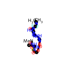 CNCC(=O)N[C@H](C(=O)N1CCC[C@H]1c1nc(C(=O)c2cccc(OCCNC(=O)COCCN3CCN(CCNc4cc(N5CCC6(CC5)CN(c5cc(F)c(CN7CCC(C)(C)CC7)cc5F)CC(=O)N6)ncn4)CC3)c2)cs1)C1CCCCC1